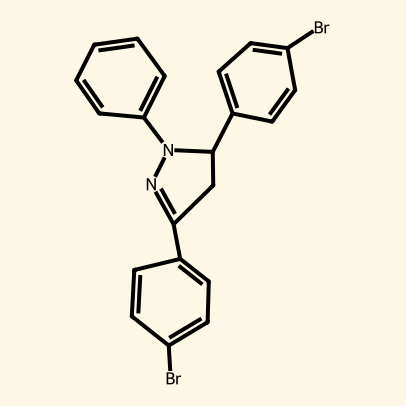 Brc1ccc(C2=NN(c3ccccc3)C(c3ccc(Br)cc3)C2)cc1